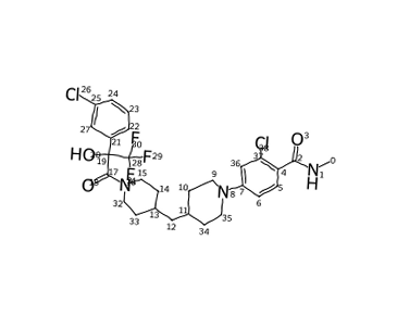 CNC(=O)c1ccc(N2CCC(CC3CCN(C(=O)C(O)(c4cccc(Cl)c4)C(F)(F)F)CC3)CC2)cc1Cl